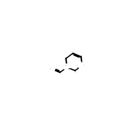 C=CN1CC=COC1